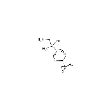 CC(C)(CN)c1ccc([SH](=O)=O)cc1